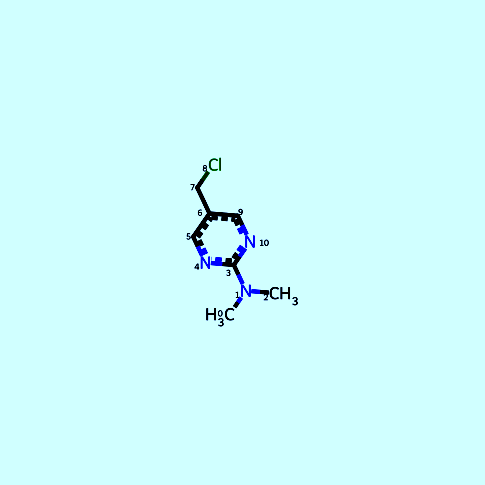 CN(C)c1ncc(CCl)cn1